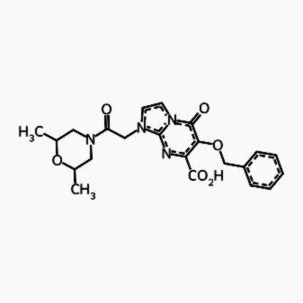 CC1CN(C(=O)Cn2ccn3c(=O)c(OCc4ccccc4)c(C(=O)O)nc23)CC(C)O1